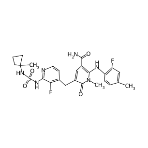 Cc1ccc(Nc2c(C(N)=O)cc(Cc3ccnc(NS(=O)(=O)NC4(C)CCC4)c3F)c(=O)n2C)c(F)c1